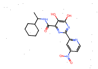 CC(NC(=O)c1nc(-c2cc([N+](=O)[O-])ccn2)nc(O)c1O)C1CCCCC1